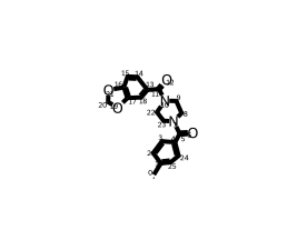 [CH2]c1ccc(C(=O)N2CCN(C(=O)c3ccc4c(c3)OCO4)CC2)cc1